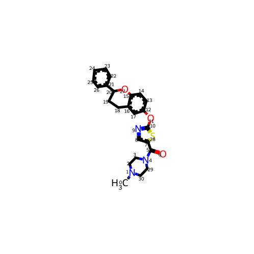 CN1CCN(C(=O)c2cnc(Oc3ccc4c(c3)CCC(c3ccccc3)O4)s2)CC1